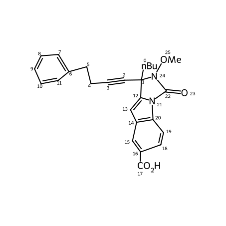 CCCCC1(C#CCCc2ccccc2)c2cc3cc(C(=O)O)ccc3n2C(=O)N1OC